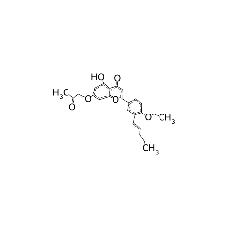 CCC/C=C/c1cc(-c2cc(=O)c3c(O)cc(OCC(C)=O)cc3o2)ccc1OCC